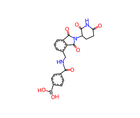 O=C1CCC(N2C(=O)c3cccc(CNC(=O)c4ccc(B(O)O)cc4)c3C2=O)C(=O)N1